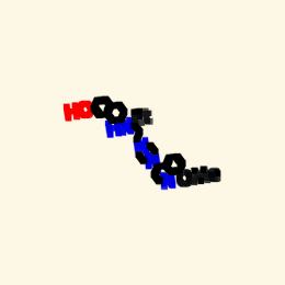 CCC(CCN1CCN(c2ccnc3c(OC)cccc23)CC1)NC1CCc2ccc(O)cc2C1